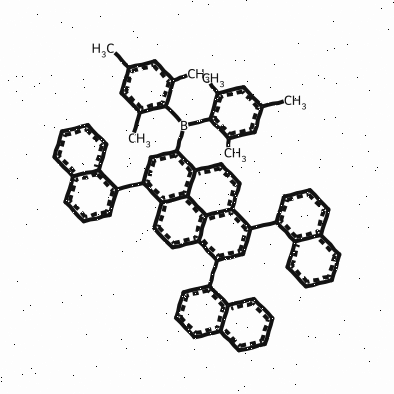 Cc1cc(C)c(B(c2c(C)cc(C)cc2C)c2cc(-c3cccc4ccccc34)c3ccc4c(-c5cccc6ccccc56)cc(-c5cccc6ccccc56)c5ccc2c3c54)c(C)c1